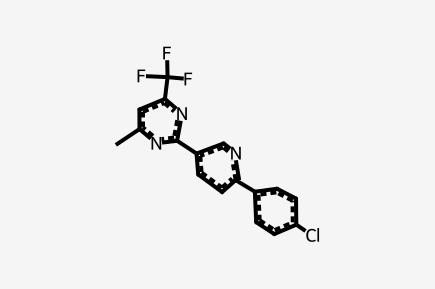 Cc1cc(C(F)(F)F)nc(-c2ccc(-c3ccc(Cl)cc3)nc2)n1